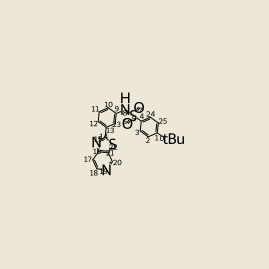 CC(C)(C)c1ccc(S(=O)(=O)Nc2cccc(-c3nc4ccncc4s3)c2)cc1